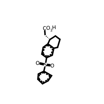 O=C(O)C[C@@H]1CCCc2cc(S(=O)(=O)c3ccccc3)ccc21